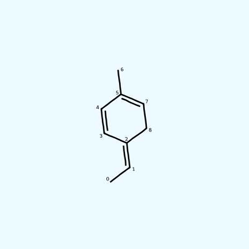 CC=C1C=CC(C)=CC1